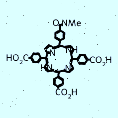 CNC(=O)c1ccc(-c2c3nc(c(-c4ccc(C(=O)O)cc4)c4ccc([nH]4)c(-c4ccc(C(=O)O)cc4)c4nc(c(-c5ccc(C(=O)O)cc5)c5ccc2[nH]5)C=C4)C=C3)cc1